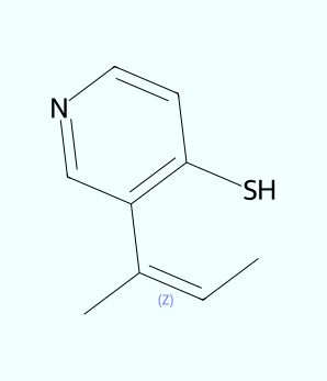 C/C=C(/C)c1cnccc1S